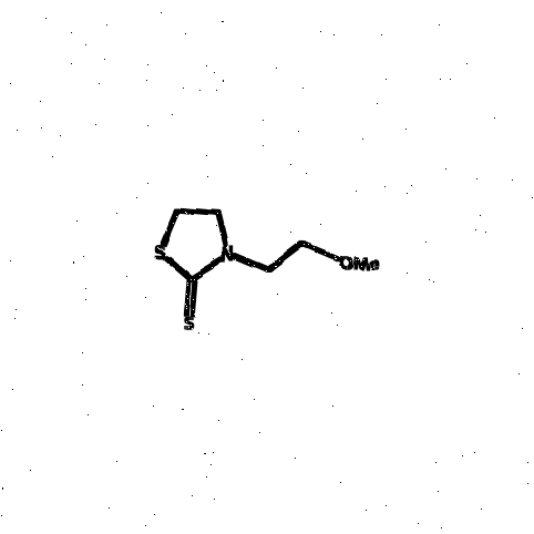 COCCN1CCSC1=S